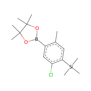 Cc1cc([Si](C)(C)C)c(Cl)cc1B1OC(C)(C)C(C)(C)O1